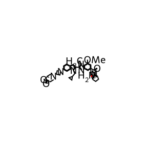 COc1cc(C(=O)N2CC3CCC2[C@@H]3N)cc2nc(-c3cc4ccc(N5CC(N6CCS(=O)(=O)CC6)C5)cc4n3CC3CC3)n(C)c12